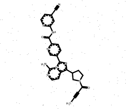 CC#CC(=O)N1CCC(c2nc(-c3ccc(C(=O)Nc4cc(C#N)ccn4)nc3)n3c(N)nccc23)C1